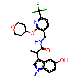 CC(C(=O)NCc1ccc(C(F)(F)F)nc1OC1CCOCC1)c1cn(C)c2ccc(O)cc12